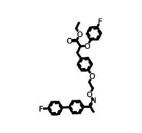 CCOC(=O)C(Cc1ccc(OCCON=C(C)c2ccc(-c3ccc(F)cc3)cc2)cc1)Oc1ccc(F)cc1